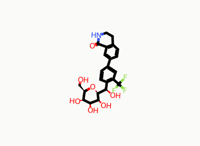 O=C1NCCc2ccc(-c3ccc([C@@H](O)[C@H]4O[C@H](CO)[C@@H](O)[C@H](O)[C@@H]4O)c(C(F)(F)F)c3)cc21